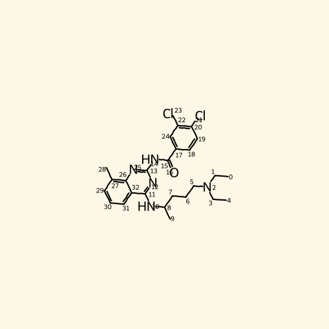 CCN(CC)CCCC(C)Nc1nc(NC(=O)c2ccc(Cl)c(Cl)c2)nc2c(C)cccc12